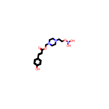 O=C(/C=C/c1ccc(O)cc1)OCN1CCN(CCON(O)O)CC1